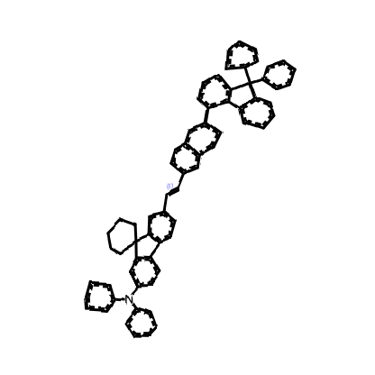 C(=C\c1ccc2cc(-c3cccc4c3-c3ccccc3C4(c3ccccc3)c3ccccc3)ccc2c1)/c1ccc2c(c1)C1(CCCCC1)c1cc(N(c3ccccc3)c3ccccc3)ccc1-2